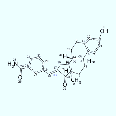 C[C@@]12CC[C@@H]3c4ccc(O)cc4CC[C@H]3[C@@H]1C/C(=C\c1cccc(C(N)=O)c1)C2=O